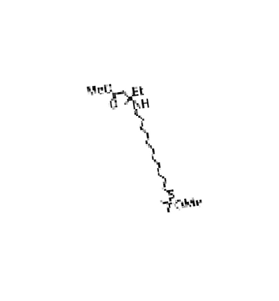 CCC(C)(CC(=O)OC)NCCCCCCCCCCCSC(C)(C)OC